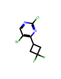 FC1(F)CC(c2nc(Cl)ncc2Br)C1